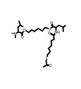 CNC(CC(C)C)C(=O)OCCCCCCOC(=O)C(CC(C)C)NC(=O)CCCCCCCCC(C)=O